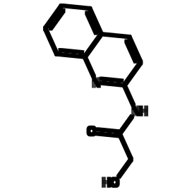 O=C(CO)Nc1ccc2ccccc2n1